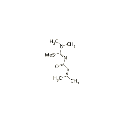 CS/C(=N\C(=O)C=C(C)C)N(C)C